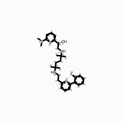 CN(C)c1cccc([C@H](O)CNC(C)(C)CCC(C)(C)NCCc2cccc(-c3ccccc3F)n2)n1